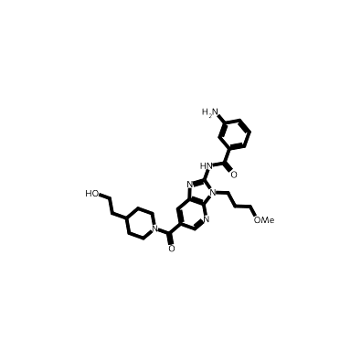 COCCCn1c(NC(=O)c2cccc(N)c2)nc2cc(C(=O)N3CCC(CCO)CC3)cnc21